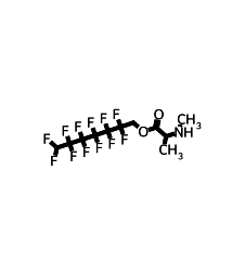 CNC(C)C(=O)OCC(F)(F)C(F)(F)C(F)(F)C(F)(F)C(F)(F)C(F)F